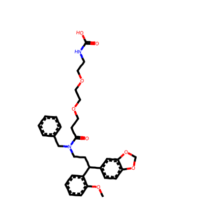 COc1ccccc1C(CCN(Cc1ccccc1)C(=O)CCOCCOCCNC(=O)O)c1ccc2c(c1)OCO2